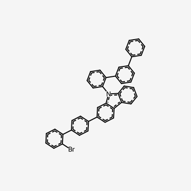 Brc1ccccc1-c1ccc(-c2ccc3c4ccccc4n(-c4ccccc4-c4cccc(-c5ccccc5)c4)c3c2)cc1